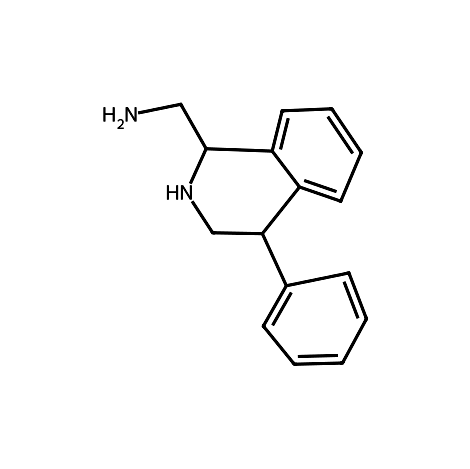 NCC1NCC(c2ccccc2)c2ccccc21